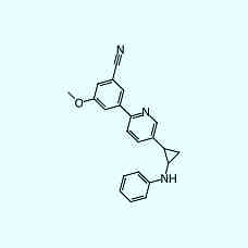 COc1cc(C#N)cc(-c2ccc(C3CC3Nc3ccccc3)cn2)c1